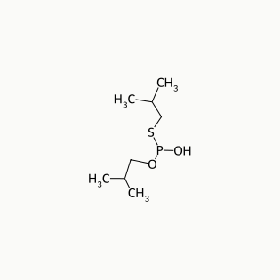 CC(C)COP(O)SCC(C)C